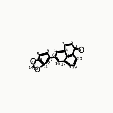 O=C1C=Cc2cc(-c3ccc4c(c3)OCO4)cc3cccc1c23